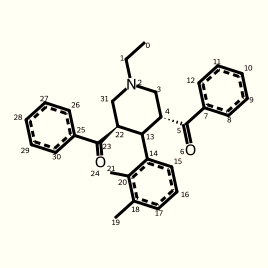 CCN1C[C@H](C(=O)c2ccccc2)C(c2cccc(C)c2C)[C@@H](C(=O)c2ccccc2)C1